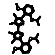 COc1cccc(OC(C)C)c1-c1sc(-c2sc(-c3c(OC)cccc3OC(C)C)c(C)c2C)c(C)c1C